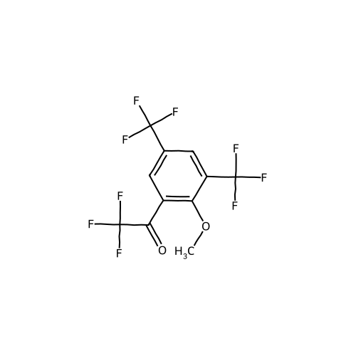 COc1c(C(=O)C(F)(F)F)cc(C(F)(F)F)cc1C(F)(F)F